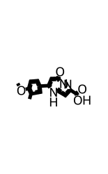 COc1ccc(-c2cc(=O)n3nc(C(=O)O)cc3[nH]2)cc1C